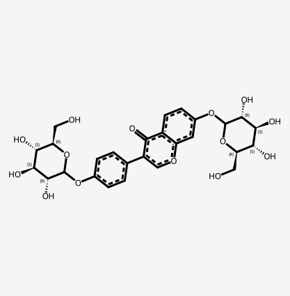 O=c1c(-c2ccc(OC3O[C@H](CO)[C@@H](O)[C@H](O)[C@H]3O)cc2)coc2cc(OC3O[C@H](CO)[C@@H](O)[C@H](O)[C@H]3O)ccc12